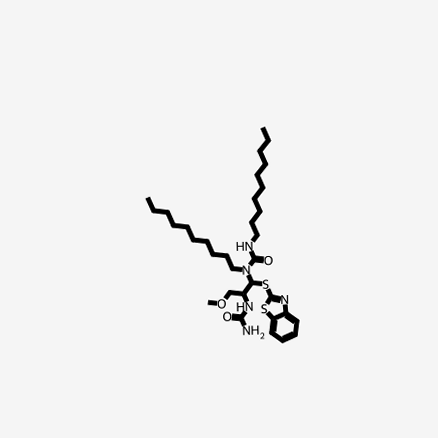 CCCCCCCCCCNC(=O)N(CCCCCCCCCC)C(Sc1nc2ccccc2s1)C(COC)NC(N)=O